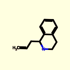 C=CCC1[N]CCc2ccccc21